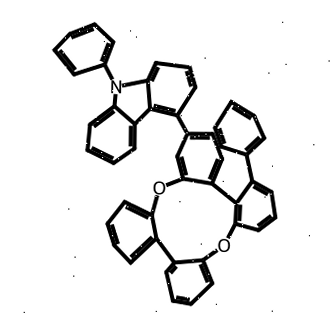 c1ccc(-c2cccc3c2-c2ccc(-c4cccc5c4c4ccccc4n5-c4ccccc4)cc2Oc2ccccc2-c2ccccc2O3)cc1